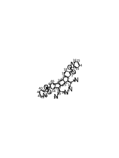 N#CC(C#N)=C1c2cc(S(=O)(=O)c3ccccn3)ccc2-c2cc3c(cc21)C(=C(C#N)C#N)c1cc(S(=O)(=O)c2ccccn2)ccc1-3